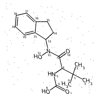 CC(C)(C)C(NC(=O)O)C(=O)N(O)C1CCc2ccccc21